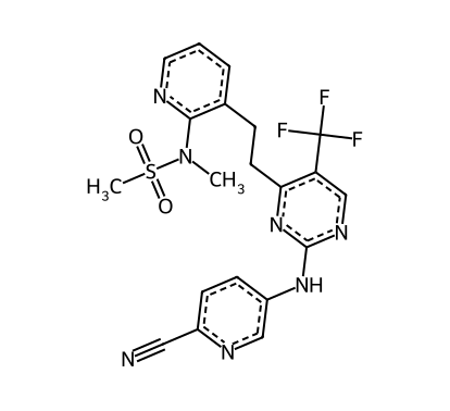 CN(c1ncccc1CCc1nc(Nc2ccc(C#N)nc2)ncc1C(F)(F)F)S(C)(=O)=O